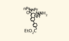 CCCN(CCC)C(=O)C1=CC2=CC=C(C3=CC=C(CC(=O)OCC)CC3)CC2NC(N=NN)C1